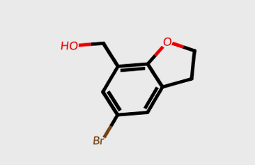 OCc1cc(Br)cc2c1OCC2